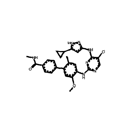 CNC(=O)c1ccc(-c2cc(OC)c(Nc3ncc(Cl)c(Nc4cc(C5CC5)[nH]n4)n3)cc2C)cc1